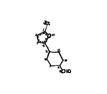 CCc1ccc(C2CCC(C=O)CC2)o1